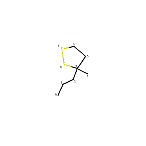 [CH2]CCC1(C)CCSS1